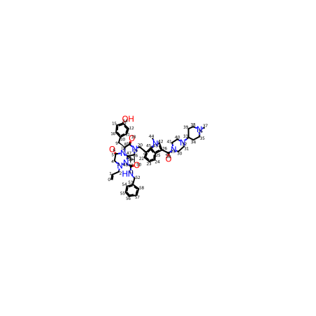 C=CCN1CC(=O)N2[C@@H](Cc3ccc(O)cc3)C(=O)N(Cc3cccc4c(C(=O)N5CCN(C6CCN(C)CC6)CC5)cn(C)c34)C[C@@H]2N1C(=O)NCc1ccccc1